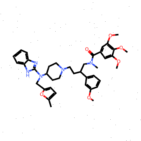 COc1cccc(C(CCN2CCC(N(Cc3ccc(C)o3)c3nc4ccccc4[nH]3)CC2)CN(C)C(=O)c2cc(OC)c(OC)c(OC)c2)c1